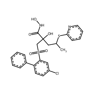 CC(CC(O)(CS(=O)(=O)c1cc(Cl)ccc1-c1ccccc1)C(=O)NO)Sc1ccccn1